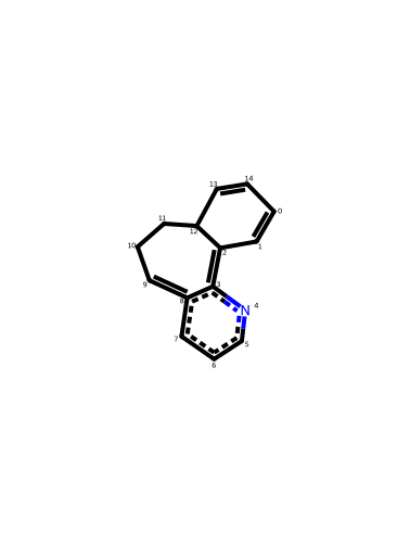 C1=CC2=c3ncccc3=CCCC2C=C1